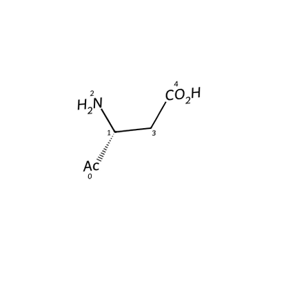 CC(=O)[C@H](N)CC(=O)O